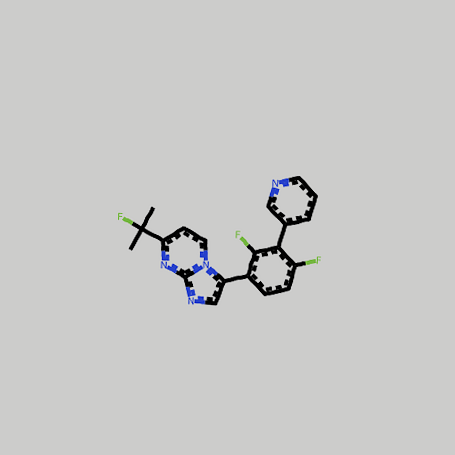 CC(C)(F)c1ccn2c(-c3ccc(F)c(-c4cccnc4)c3F)cnc2n1